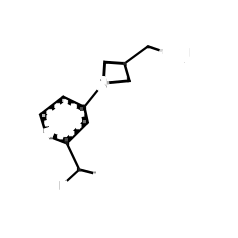 O=C(O)CC1CN(c2ccnc(C(F)F)c2)C1